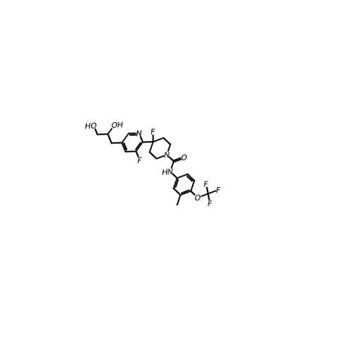 Cc1cc(NC(=O)N2CCC(F)(c3ncc(CC(O)CO)cc3F)CC2)ccc1OC(F)(F)F